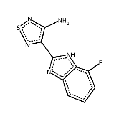 Nc1nsnc1-c1nc2cccc(F)c2[nH]1